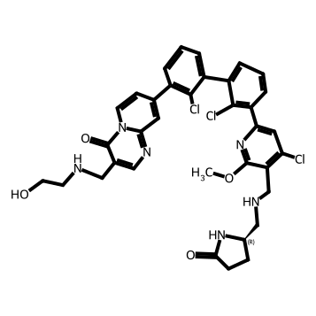 COc1nc(-c2cccc(-c3cccc(-c4ccn5c(=O)c(CNCCO)cnc5c4)c3Cl)c2Cl)cc(Cl)c1CNC[C@H]1CCC(=O)N1